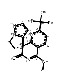 CNC1=NC(=O)[C@]2(CCn3nccc32)c2nc(C(F)(F)F)ccc21